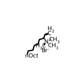 C=CC(CCCCCCCCCCCCC)[N+](C)(C)C.[Br-]